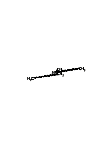 CCCCCCCCCCCCCCCCCC(CC)NC(CC)CCCCCCCCCCCCCCCCC